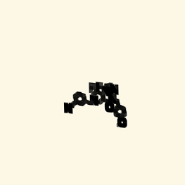 COc1ccc(CN2C(=O)C3=C(N4CCN=C24)C(F)(F)CN(Cc2cccc(C#N)c2)C3)cc1